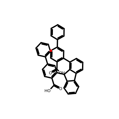 O=C(O)c1ccc(-c2ccccc2)cc1-c1cccc2c1C(c1cc(-c3ccccc3)ccc1C(=O)O)c1ccccc1-2